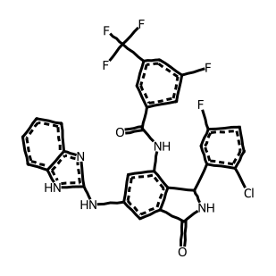 O=C(Nc1cc(Nc2nc3ccccc3[nH]2)cc2c1C(c1cc(F)ccc1Cl)NC2=O)c1cc(F)cc(C(F)(F)F)c1